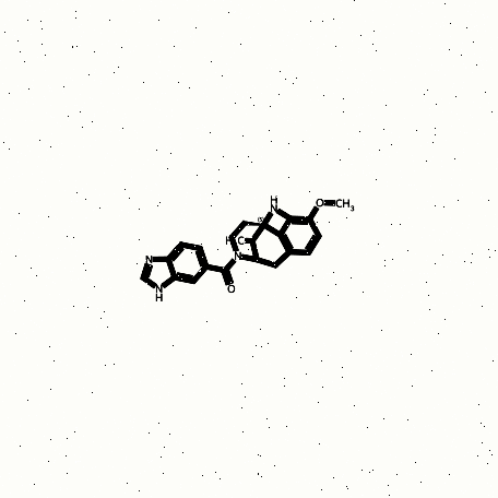 COc1ccc2c3c1N[C@]31CCN(C(=O)c3ccc4nc[nH]c4c3)C(C2)C1C